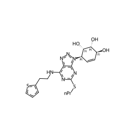 CCCSc1nc(NCCc2cccs2)c2nnn([C@@H]3C=C[C@H](O)[C@@H](O)[C@H]3O)c2n1